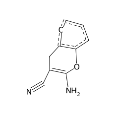 N#CC1=C(N)Oc2ccccc2C1